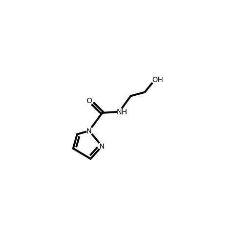 O=C(NCCO)n1cccn1